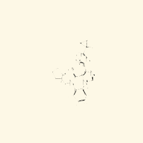 CC1(c2nc(-c3ncn4c3c(=O)n(CC3CCCO3)c3ccccc34)no2)CC1